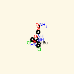 CC(C)(C)C[C@@H]1N[C@@H](C(=O)Nc2ccc(OCC(N)=O)cc2)[C@H](c2cccc(Cl)c2F)[C@]12C(=O)Nc1cc(Cl)ccc12